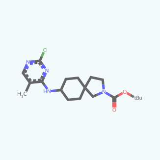 Cc1cnc(Cl)nc1NC1CCC2(CC1)CCN(C(=O)OC(C)(C)C)C2